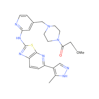 COCC(=O)N1CCN(Cc2ccnc(Nc3nc4ccc(-c5cn[nH]c5C)nc4s3)c2)CC1